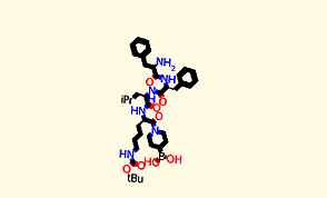 CC(C)C[C@@H](NC(=O)[C@@H](Cc1ccccc1)NC(=O)[C@H](N)Cc1ccccc1)C(=O)N[C@H](CCCCNC(=O)OC(C)(C)C)C(=O)N1CCC(B(O)O)CC1